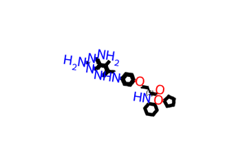 Cc1c(CNc2ccc(OCC[C@H](NC3CCCCC3)C(=O)OC3CCCC3)cc2)cnc2nc(N)nc(N)c12